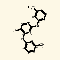 Cc1cccc(Nc2ncc(F)c(Nc3cccc(O)c3)n2)c1